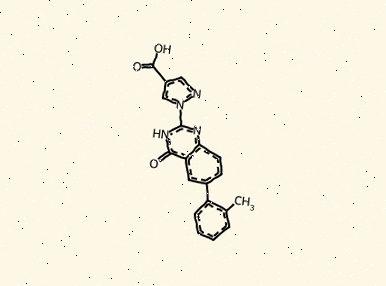 Cc1ccccc1-c1ccc2nc(-n3cc(C(=O)O)cn3)[nH]c(=O)c2c1